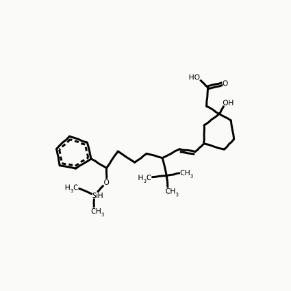 C[SiH](C)OC(CCCC(C=CC1CCCC(O)(CC(=O)O)C1)C(C)(C)C)c1ccccc1